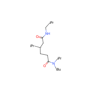 CCC(C)N(C(=O)CC[C](CC(=O)NCC(C)C)C(C)C)C(C)C